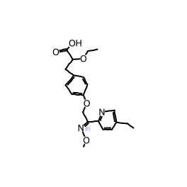 CCOC(Cc1ccc(OC/C(=N/OC)c2ccc(CC)cn2)cc1)C(=O)O